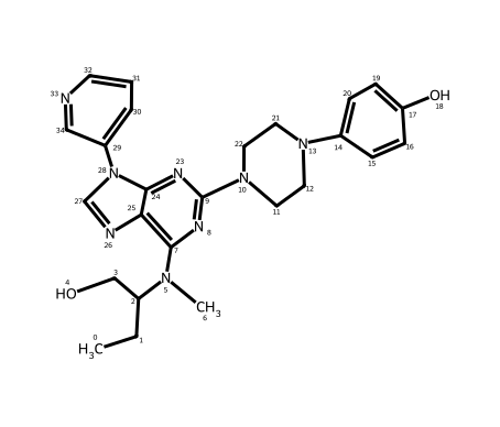 CCC(CO)N(C)c1nc(N2CCN(c3ccc(O)cc3)CC2)nc2c1ncn2-c1cccnc1